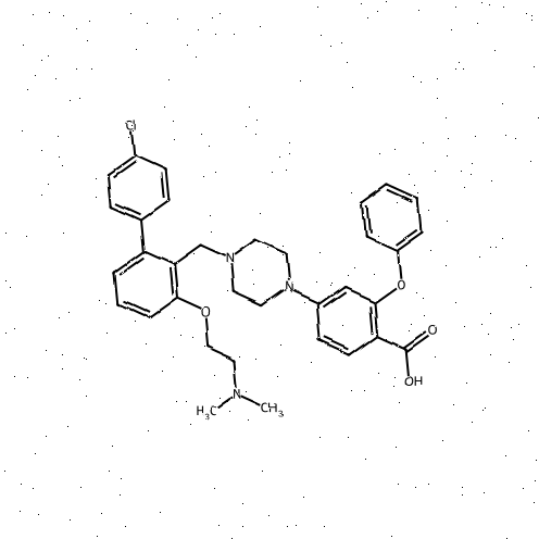 CN(C)CCOc1cccc(-c2ccc(Cl)cc2)c1CN1CCN(c2ccc(C(=O)O)c(Oc3ccccc3)c2)CC1